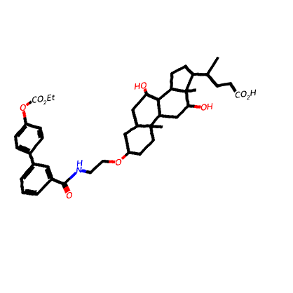 CCOC(=O)Oc1ccc(-c2cccc(C(=O)NCCOC3CCC4(C)C(C3)CC(O)C3C4CC(O)C4(C)C(C(C)CCC(=O)O)CCC34)c2)cc1